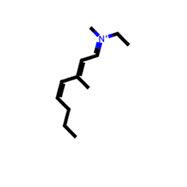 CCC\C=C/C(C)=C/C=[N+](\C)CC